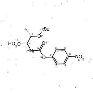 C[C@H](OC(C)(C)C)[C@H](NC(=O)Oc1ccc([N+](=O)[O-])cc1)C(=O)O